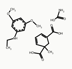 CC1(C(=O)O)C=CC=C(C(=O)O)C1.CCNc1cc(OC)cc(OC)c1.NC(=O)O